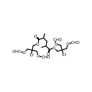 CCC(COC=O)(COC=O)COC(=O)C(C)CC(C)C(=O)OCC(CC)(COC=O)COC=O